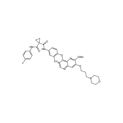 COc1nc2c(Oc3ccc(NC(=O)C4(C(=O)Nc5ccc(F)cc5)CC4)cc3C)ncnc2cc1OCCCN1CCOCC1